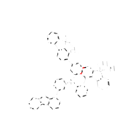 CC1(C)C2=C(CCC=C2)c2c(-c3ccccc3N(c3cccc(-c4ccc5c(c4)C(C)(C)c4ccccc4-5)c3)c3cccc(-c4cccc5c4sc4ccccc45)c3)cccc21